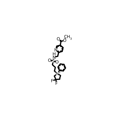 COC(=O)c1ccc(CNS(=O)(=O)CCC[N+]2(c3ccccc3)CCC(F)(F)C2)nc1